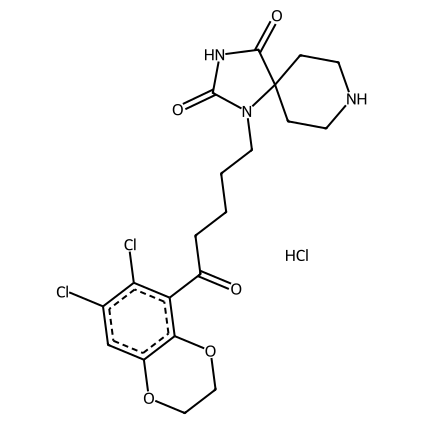 Cl.O=C(CCCCN1C(=O)NC(=O)C12CCNCC2)c1c(Cl)c(Cl)cc2c1OCCO2